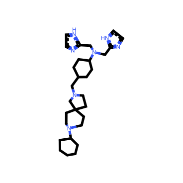 c1c[nH]c(CN(Cc2ncc[nH]2)C2CCC(CN3CCC4(CCN(C5CCCCC5)CC4)C3)CC2)n1